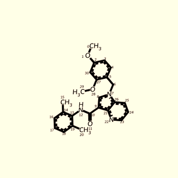 COc1ccc(Cn2cc(C(=O)Nc3c(C)cccc3C)c3ncccc32)c(OC)c1